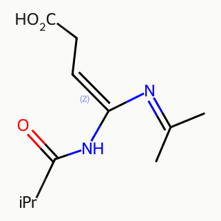 CC(C)=N/C(=C\CC(=O)O)NC(=O)C(C)C